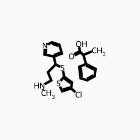 CC(C(=O)O)c1ccccc1.CNCCC(Sc1cc(Cl)cs1)c1cccnc1